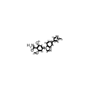 COc1cc(-n2cnc3cc(-c4cnn(C)c4)ccc32)cc(OC)c1C(N)=O